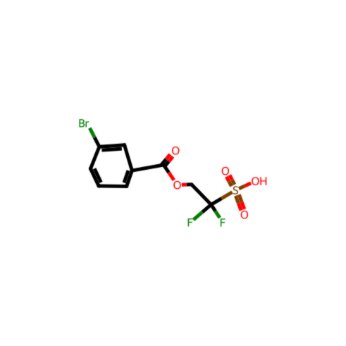 O=C(OCC(F)(F)S(=O)(=O)O)c1cccc(Br)c1